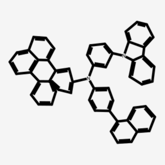 c1ccc(-c2cccc3cccc(-c4cccc(N(c5ccc(-c6cccc7ccccc67)cc5)c5cccc(-n6c7ccccc7c7ccccc76)c5)c4)c23)cc1